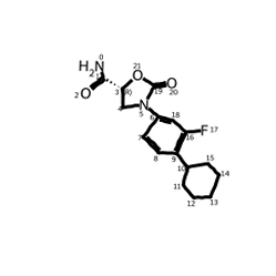 NC(=O)[C@H]1CN(c2ccc(C3CCCCC3)c(F)c2)C(=O)O1